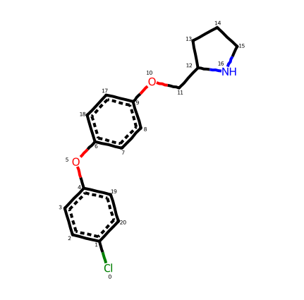 Clc1ccc(Oc2ccc(OCC3CCCN3)cc2)cc1